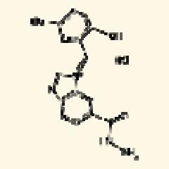 CC(C)(C)c1ccc(O)c(C=[N+]2C=Nc3ccc(C(=O)NN)cc32)c1.Cl